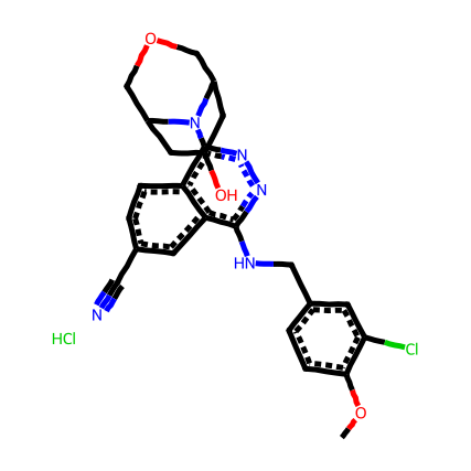 COc1ccc(CNc2nnc(N3C4COCC3CC(O)C4)c3ccc(C#N)cc23)cc1Cl.Cl